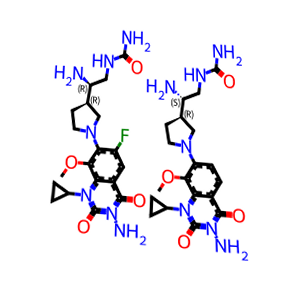 COc1c(N2CC[C@@H]([C@@H](N)CNC(N)=O)C2)c(F)cc2c(=O)n(N)c(=O)n(C3CC3)c12.COc1c(N2CC[C@@H]([C@H](N)CNC(N)=O)C2)ccc2c(=O)n(N)c(=O)n(C3CC3)c12